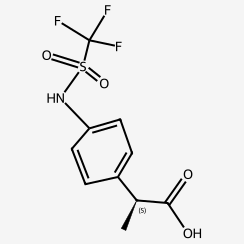 C[C@H](C(=O)O)c1ccc(NS(=O)(=O)C(F)(F)F)cc1